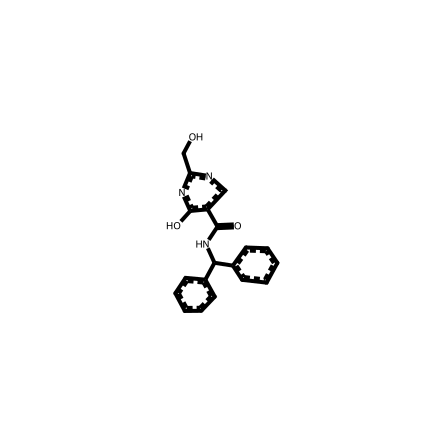 O=C(NC(c1ccccc1)c1ccccc1)c1cnc(CO)nc1O